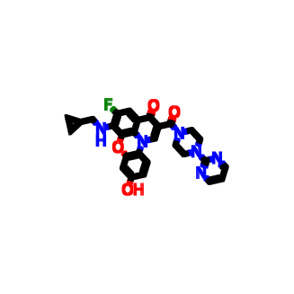 O=C(c1cn2c3c(c(NCC4CC4)c(F)cc3c1=O)Oc1cc(O)ccc1-2)N1CCN(c2ncccn2)CC1